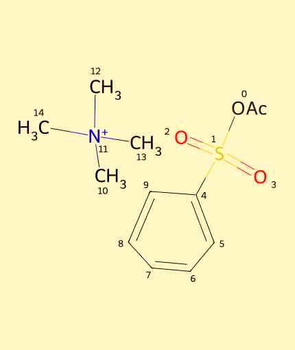 CC(=O)OS(=O)(=O)c1ccccc1.C[N+](C)(C)C